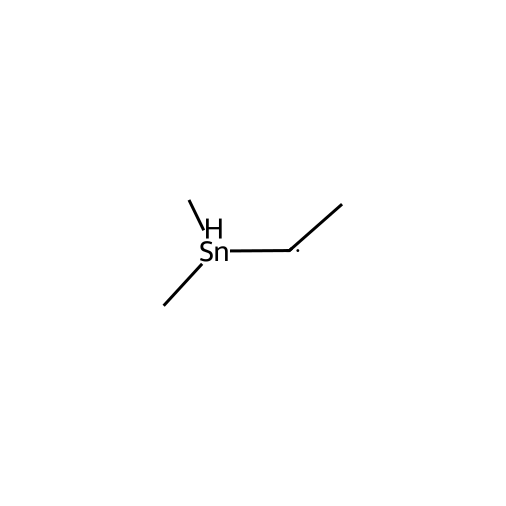 C[CH][SnH]([CH3])[CH3]